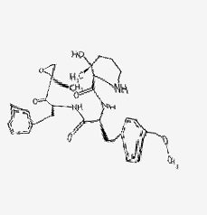 COc1ccc(C[C@H](NC(=O)[C@@H]2NCCC[C@@]2(C)O)C(=O)N[C@@H](Cc2ccccc2)C(=O)[C@@]2(C)CO2)cc1